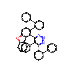 c1ccc(-c2ccccc2-c2ccc3oc4ccccc4c3c2-c2nnnc(-c3ccccc3-c3ccccc3)c2-c2ccccc2)cc1